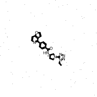 CCn1nnnc1N1CC[C@H](NC(=O)c2ccc(-c3nccc4occc34)cc2)C1